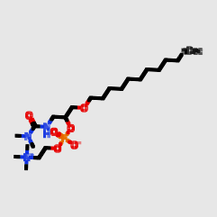 CCCCCCCCCCCCCCCCCCCCOCC(CNC(=O)N(C)C)OP(=O)([O-])OCC[N+](C)(C)C